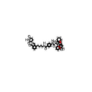 O=C1CCC(N2Cc3c(CCCCNC(=O)c4ccc(NC(=O)[C@@H]5NC6(CCCCC6)[C@@]6(C(=O)Nc7cc(Cl)ccc76)[C@H]5c5cccc(Cl)c5F)cc4)cccc3C2=O)C(=O)N1